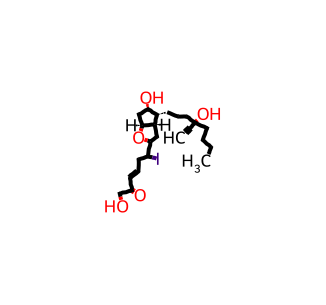 C#CC(O)(CCCC)CCC[C@@H]1[C@H]2CC(C(I)CC=CC(=O)CO)O[C@H]2C[C@H]1O